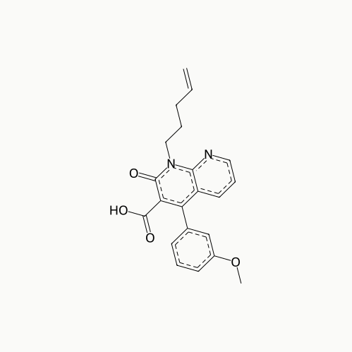 C=CCCCn1c(=O)c(C(=O)O)c(-c2cccc(OC)c2)c2cccnc21